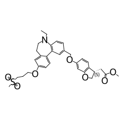 CCN1CCc2cc(OCCCS(C)(=O)=O)ccc2-c2cc(COc3ccc4c(c3)OC[C@H]4CC(=O)OC)ccc21